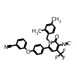 [C-]#[N+]c1c(C(F)(F)F)cc(-c2ccc(Oc3cccc(C#N)c3)cc2)n(Cc2ccc(C)cc2C)c1=O